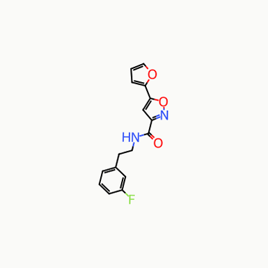 O=C(NCCc1cccc(F)c1)c1cc(-c2ccco2)on1